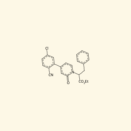 CCOC(=O)C(Cc1ccccc1)n1ccc(-c2cc(Cl)ccc2C#N)cc1=O